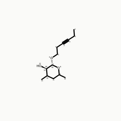 CCC#CCCO[C@@H]1OC(C)CC(C)[C@H]1O